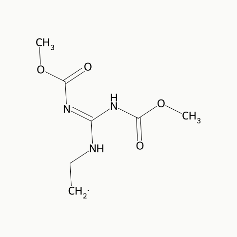 [CH2]CNC(=NC(=O)OC)NC(=O)OC